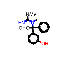 CNC(=N)N(C)C(C=O)(c1ccccc1)c1cccc(O)c1